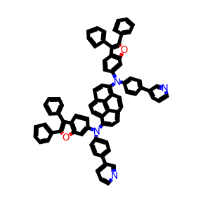 c1ccc(-c2oc3cc(N(c4ccc(-c5cccnc5)cc4)c4ccc5ccc6c(N(c7ccc(-c8cccnc8)cc7)c7ccc8c(-c9ccccc9)c(-c9ccccc9)oc8c7)ccc7ccc4c5c76)ccc3c2-c2ccccc2)cc1